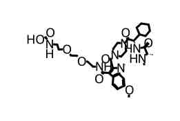 CN[C@@H](C)C(=O)N[C@H](C(=O)N1CCN(C(=O)c2c(C(=O)NCCOCCOCCNC(=O)O)c3ccc(OC)cc3n2C)CC1)C1CCCCC1